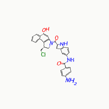 Nc1ccc(C(=O)Nc2ccc3[nH]c(C(=O)N4C[C@@H](CCl)c5c4cc(O)c4ccccc54)cc3c2)cc1